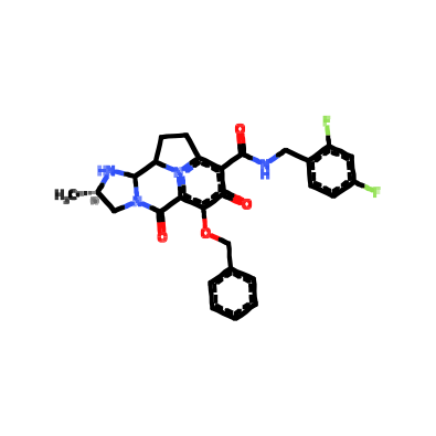 C[C@H]1CN2C(=O)c3c(OCc4ccccc4)c(=O)c(C(=O)NCc4ccc(F)cc4F)c4n3C(CC4)C2N1